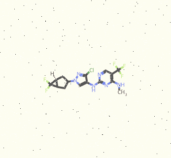 CNc1nc(Nc2cn(C3CC4[C@H](C3)C4(F)F)nc2Cl)ncc1C(F)(F)F